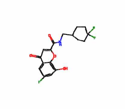 O=C(NCC1CCC(F)(F)CC1)c1cc(=O)c2cc(F)cc(O)c2o1